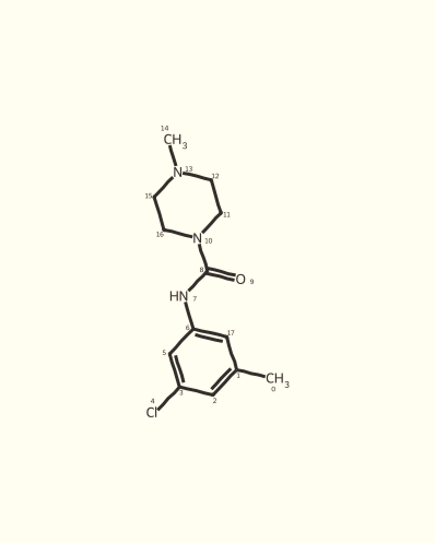 Cc1cc(Cl)cc(NC(=O)N2CCN(C)CC2)c1